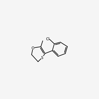 CC1=C(c2ccccc2Cl)SCCO1